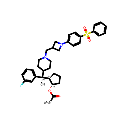 CNC(=O)O[C@H]1CCC[C@@H]1[C@@](C#N)(c1cccc(F)c1)C1CCN(CC2CN(c3ccc(S(=O)(=O)c4ccccc4)cc3)C2)CC1